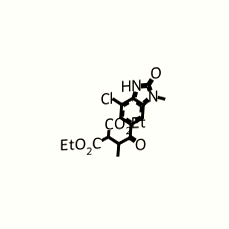 CCOC(=O)C(C(=O)OCC)C(C)C(=O)c1cc(Cl)c2[nH]c(=O)n(C)c2c1